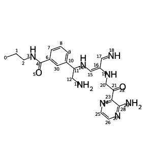 CCCNC(=O)c1cccc(C(CN)N/C=C(\C=N)NCC(=O)c2nccnc2N)c1